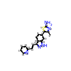 Cc1nc(N)sc1-c1ccc2c(/C=C/c3ccccn3)n[nH]c2c1